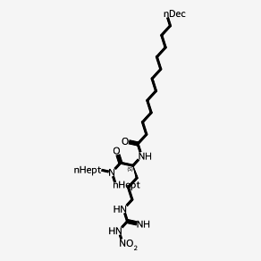 CCCCCCCCCCCCCCCCCCCCCC(=O)N[C@@H](CCCNC(=N)N[N+](=O)[O-])C(=O)N(CCCCCCC)CCCCCCC